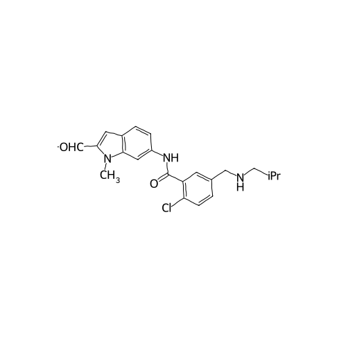 CC(C)CNCc1ccc(Cl)c(C(=O)Nc2ccc3cc([C]=O)n(C)c3c2)c1